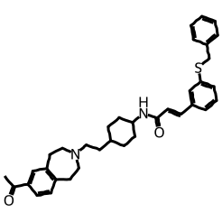 CC(=O)c1ccc2c(c1)CCN(CCC1CCC(NC(=O)/C=C/c3cccc(SCc4ccccc4)c3)CC1)CC2